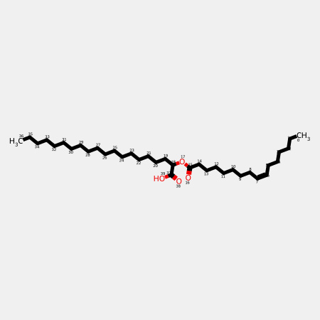 CCCCCC/C=C\CCCCCCCC(=O)OC(CCCCCCCCCCCCCCCCCC)C(=O)O